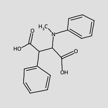 CN(c1ccccc1)C(C(=O)O)C(C(=O)O)c1ccccc1